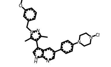 CCOc1cccc(Cn2nc(C)c(-c3c[nH]c4ncc(-c5ccc(N6CCN(Cl)CC6)cc5)cc34)c2C)c1